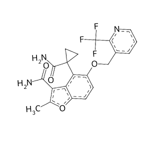 Cc1oc2ccc(OCc3cccnc3C(F)(F)F)c(C3(C(N)=O)CC3)c2c1C(N)=O